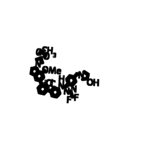 COc1cc(-c2cccc(-c3cccc(Nc4nc(C(F)F)nc5cc(CN6CCC(O)C6)ccc45)c3C)c2Cl)cc2c1C(N1CC(S(C)(=O)=O)C1)CC2